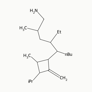 C=C1C(C(C)C)C(C)C1C(CCCC)C(CC)CC(C)CN